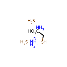 N.N.N.O=C(O)CS.S.S